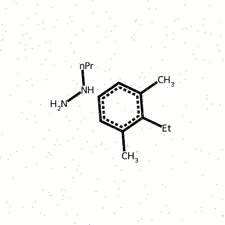 CCCNN.CCc1c(C)cccc1C